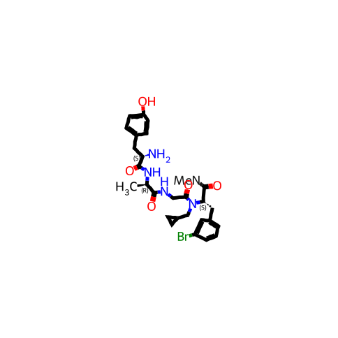 CNC(=O)[C@H](Cc1cccc(Br)c1)N(CC1CC1)C(=O)CNC(=O)[C@@H](C)NC(=O)[C@@H](N)Cc1ccc(O)cc1